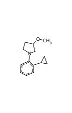 COC1CCN(c2ccccc2C2CC2)C1